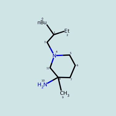 CCCCC(CC)CN1CCCC(C)(N)C1